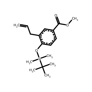 C=CCc1cc(C(=O)OC)ccc1O[Si](C)(C)C(C)(C)C